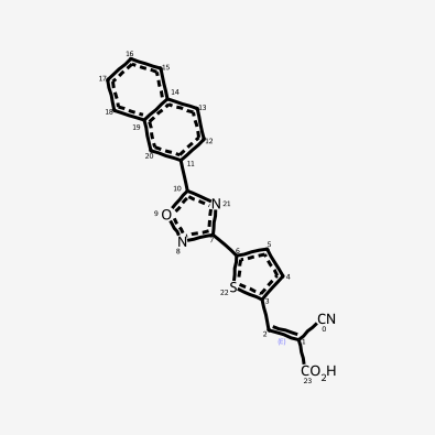 N#C/C(=C\c1ccc(-c2noc(-c3ccc4ccccc4c3)n2)s1)C(=O)O